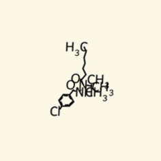 CCCCCCC(=O)N(NC(=O)c1ccc(Cl)cc1)C(C)(C)C